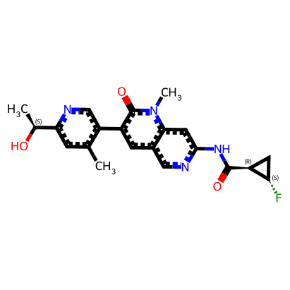 Cc1cc([C@H](C)O)ncc1-c1cc2cnc(NC(=O)[C@H]3C[C@@H]3F)cc2n(C)c1=O